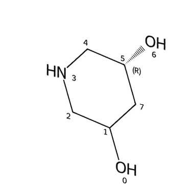 OC1CNC[C@H](O)C1